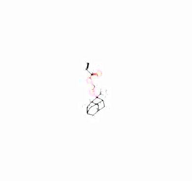 C=CC(=O)OCOC1(CC)C2CC3CC(C2)CC1C3